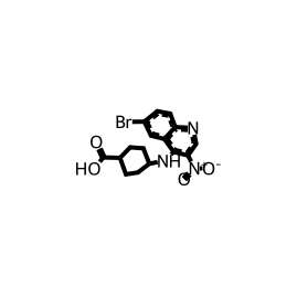 O=C(O)C1CCC(Nc2c([N+](=O)[O-])cnc3ccc(Br)cc23)CC1